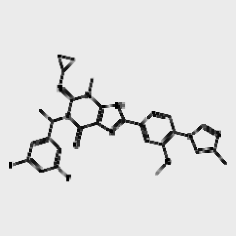 COc1cc(-c2nc3c(=O)n(C(C)c4cc(F)cc(F)c4)/c(=N/C4CC4)n(C)c3[nH]2)ccc1-n1cnc(C)c1